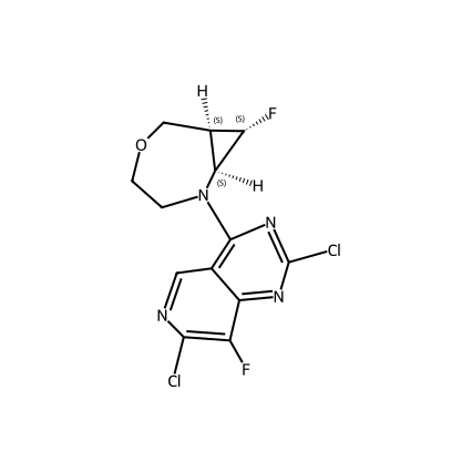 Fc1c(Cl)ncc2c(N3CCOC[C@H]4[C@H](F)[C@H]43)nc(Cl)nc12